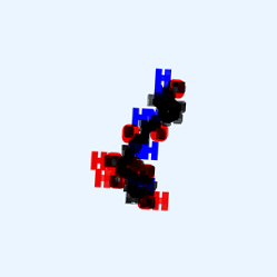 O=C(CCC(=O)Nc1cccc2c1CNC2=O)NCC1OC(n2ccc(O)nc2=O)C(O)C1O